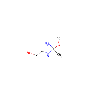 CCOC(C)(N)NCCO